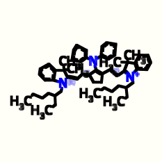 CCCCC(CC)CN1/C(=C/C=C2\CCC(/C=C/C3=[N+](CC(CC)CCCC)c4ccccc4C3(C)C)=C2N(c2ccccc2)c2ccccc2)C(C)(C)c2ccccc21